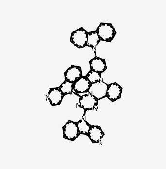 c1ccc(-n2c3ccccc3c3cc(-n4c5ccccc5c5ccccc54)ccc32)c(-c2nc(-n3c4ccccc4c4cnccc43)nc(-n3c4ccccc4c4cnccc43)n2)c1